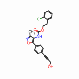 Cc1noc(-c2ccc(C#CCO)cc2)c1NC(=O)OCCc1ccccc1Cl